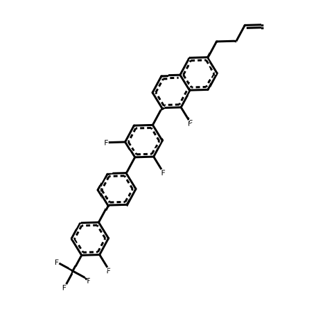 C=CCCc1ccc2c(F)c(-c3cc(F)c(-c4ccc(-c5ccc(C(F)(F)F)c(F)c5)cc4)c(F)c3)ccc2c1